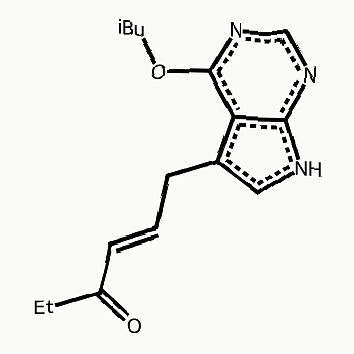 CCC(=O)/C=C/Cc1c[nH]c2ncnc(OC(C)CC)c12